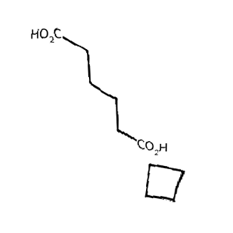 C1CCC1.O=C(O)CCCCC(=O)O